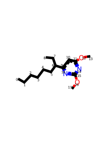 CCCCCCC(CC)c1cc(OC)nc(OC)n1